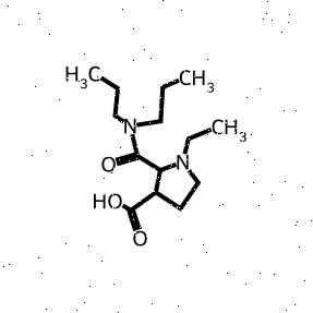 CCCN(CCC)C(=O)C1C(C(=O)O)CCN1CC